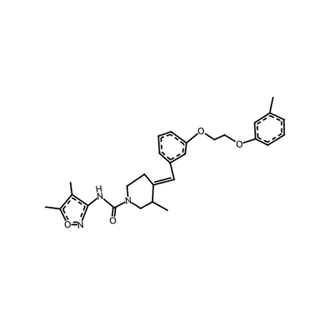 Cc1cccc(OCCOc2cccc(C=C3CCN(C(=O)Nc4noc(C)c4C)CC3C)c2)c1